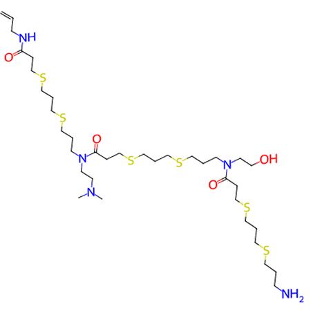 C=CCNC(=O)CCSCCCSCCCN(CCN(C)C)C(=O)CCSCCCSCCCN(CCO)C(=O)CCSCCCSCCCN